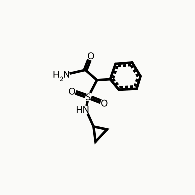 NC(=O)C(c1ccccc1)S(=O)(=O)NC1CC1